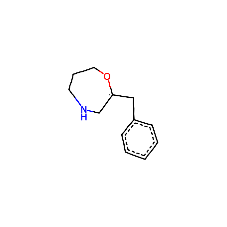 c1ccc(C[C]2CNCCCO2)cc1